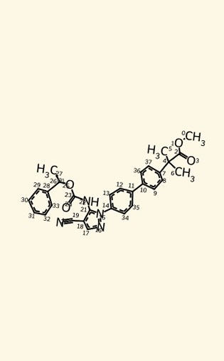 COC(=O)C(C)(C)c1ccc(-c2ccc(-n3ncc(C#N)c3NC(=O)O[C@H](C)c3ccccc3)cc2)cc1